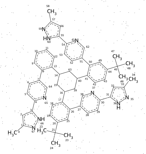 Cc1cc(-c2ccc(-c3ccccc3C3CC(c4ccc(C(C)(C)C)cc4-c4ccc(-c5cc(C)n[nH]5)nc4)CC(c4ccc(C(C)(C)C)cc4-c4ccc(-c5cc(C)n[nH]5)nc4)C3)cn2)[nH]n1